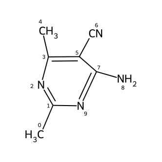 Cc1nc(C)c(C#N)c(N)n1